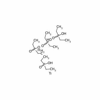 CCP(=O)(O)CC.CCP(=O)(O)CC.CCP(=O)(O)CC.CCP(=O)(O)CC.[Ti]